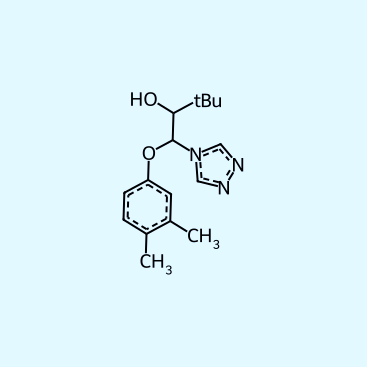 Cc1ccc(OC(C(O)C(C)(C)C)n2cnnc2)cc1C